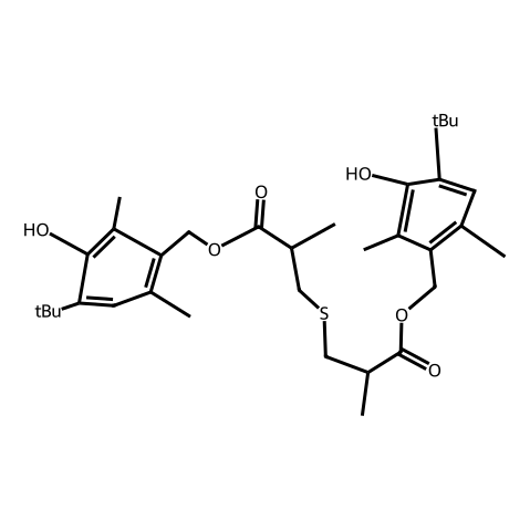 Cc1cc(C(C)(C)C)c(O)c(C)c1COC(=O)C(C)CSCC(C)C(=O)OCc1c(C)cc(C(C)(C)C)c(O)c1C